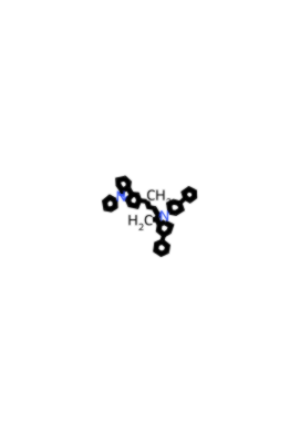 C=c1/c(=C\C=C(/C)c2ccc3c(c2)c2ccccc2n3-c2ccccc2)n(-c2ccc(-c3ccccc3)cc2)c2ccc(-c3ccccc3)cc12